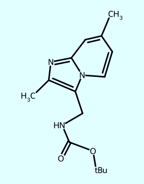 Cc1ccn2c(CNC(=O)OC(C)(C)C)c(C)nc2c1